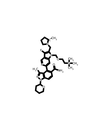 Cc1nn(C2CCCCO2)c2ccc(C(N)=O)c(-c3cc4c(cn3)c(F)c(CN3CCC[C@@H]3C)n4COCC[Si](C)(C)C)c12